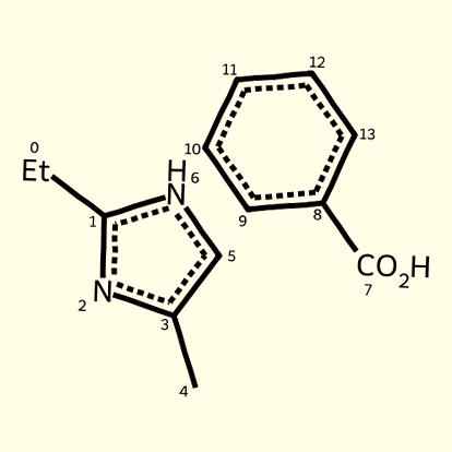 CCc1nc(C)c[nH]1.O=C(O)c1ccccc1